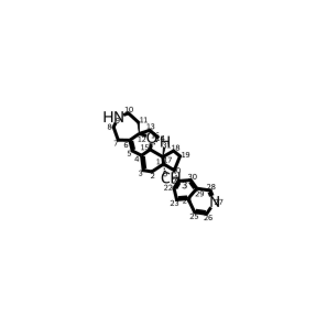 C[C@]12CC=C3C=C4CCNCC[C@]45CC[C@]3(O5)[C@@H]1CC[C@@H]2c1ccc2ccncc2c1